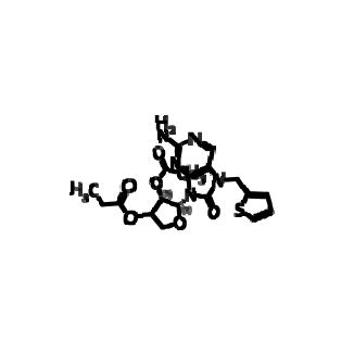 CCC(=O)OC1CO[C@@H](n2c(=O)n(Cc3cccs3)c3cnc(N)nc32)[C@@H]1OC(C)=O